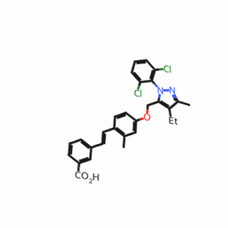 CCc1c(C)nn(-c2c(Cl)cccc2Cl)c1COc1ccc(/C=C/c2cccc(C(=O)O)c2)c(C)c1